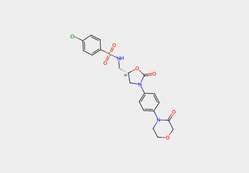 O=C1COCCN1c1ccc(N2C[C@H](CNS(=O)(=O)c3ccc(Cl)cc3)OC2=O)cc1